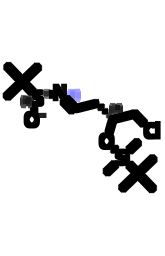 CC(C)(C)[S@+]([O-])/N=C/C[C@H](CCl)O[Si](C)(C)C(C)(C)C